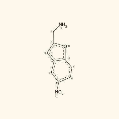 NCc1cc2cc([N+](=O)[O-])ccc2o1